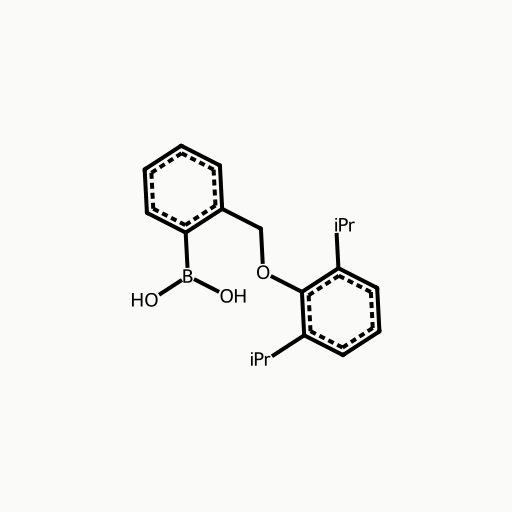 CC(C)c1cccc(C(C)C)c1OCc1ccccc1B(O)O